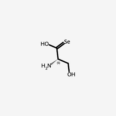 N[C@@H](CO)C(O)=[Se]